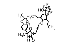 CCCc1cc(C(O)(C(F)(F)F)C(F)(F)F)cc(CCC)c1OCC#CCN1C(=O)NC(C)(C2=CCC(OC(C)C)C=C2)C1=O